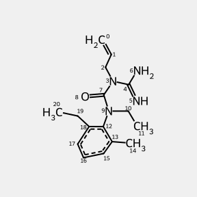 C=CCN(C(=N)N)C(=O)N(CC)c1c(C)cccc1CC